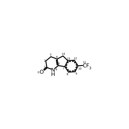 O=C1CCC2=C(N1)c1ccc(C(F)(F)F)cc1C2